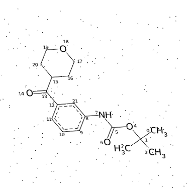 CC(C)(C)OC(=O)Nc1cccc(C(=O)C2CCOCC2)c1